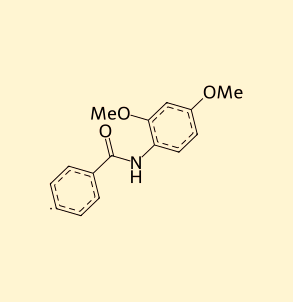 COc1ccc(NC(=O)c2cc[c]cc2)c(OC)c1